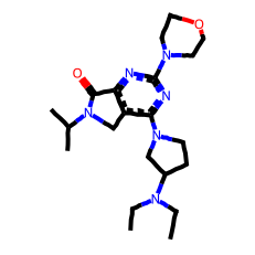 CCN(CC)C1CCN(c2nc(N3CCOCC3)nc3c2CN(C(C)C)C3=O)C1